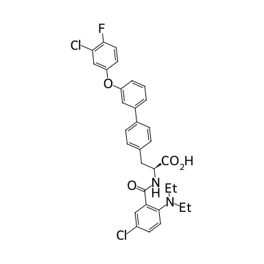 CCN(CC)c1ccc(Cl)cc1C(=O)N[C@@H](Cc1ccc(-c2cccc(Oc3ccc(F)c(Cl)c3)c2)cc1)C(=O)O